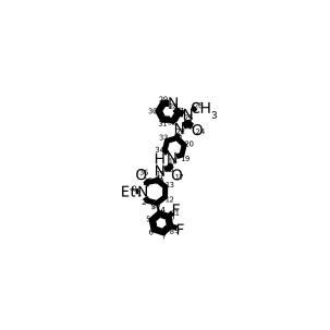 CCN1C[C@H](c2cccc(F)c2F)CC[C@@H](NC(=O)N2CCC(n3c(=O)n(C)c4ncccc43)CC2)C1=O